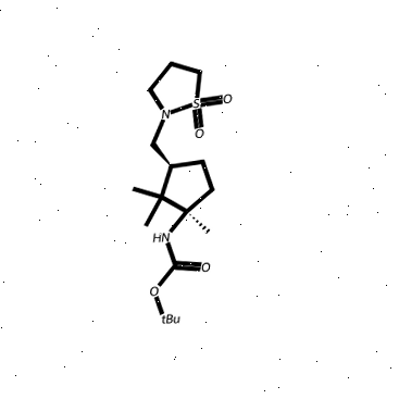 CC(C)(C)OC(=O)N[C@]1(C)CC[C@H](CN2CCCS2(=O)=O)C1(C)C